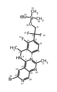 Cc1nc(NC(C)c2cccc(C(F)(F)CO[Si](C)(C)C(C)(C)C)c2F)c2cc(Br)ncc2n1